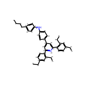 CCCCc1ccc(Nc2ccc(-c3cc(-c4ccc(CC)cc4CC)nc(-c4ccc(CC)cc4CC)c3)cc2)cc1